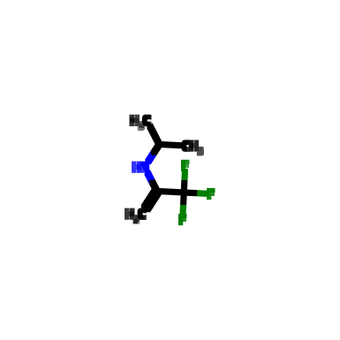 C=C(NC(C)C)C(F)(F)F